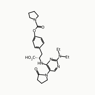 CCN(CC)c1ncc(N2CCCC2=O)c(N[C@@H](Cc2ccc(OC(=O)N3CCCC3)cc2)C(=O)O)n1